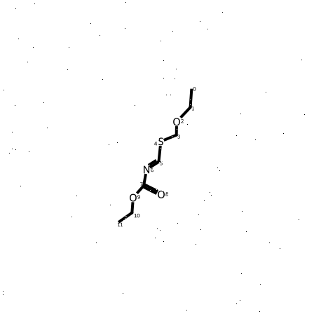 CCOCSC=NC(=O)OCC